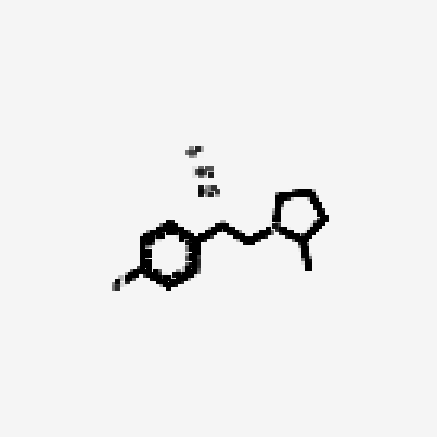 Cl.[B+2]c1ccc(CCN2CCCC2C)cc1.[OH-].[OH-]